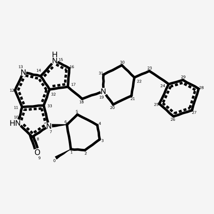 C[C@@H]1CCCC[C@@H]1n1c(=O)[nH]c2cnc3[nH]cc(CN4CCC(Cc5ccccc5)CC4)c3c21